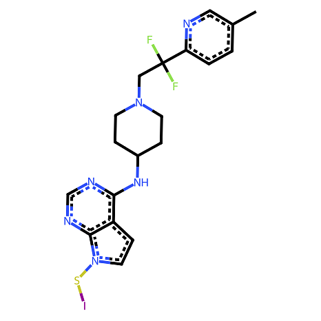 Cc1ccc(C(F)(F)CN2CCC(Nc3ncnc4c3ccn4SI)CC2)nc1